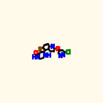 O=C1NCCNc2c1sc1ccc3nc(Oc4cnnc(Cl)c4)ccc3c21